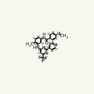 COc1ccc(C(=O)Nc2ccc(C)c(Nc3cc(C(F)(F)F)nc(-c4ccncc4)n3)c2)cc1